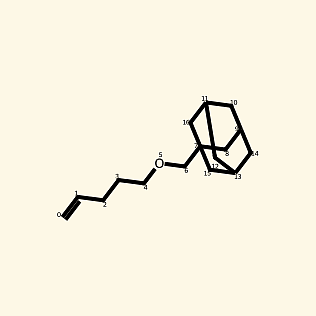 C=CCCCOCC12CC3CC(CC(C3)C1)C2